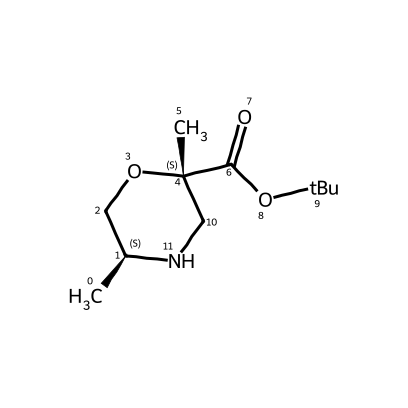 C[C@H]1CO[C@](C)(C(=O)OC(C)(C)C)CN1